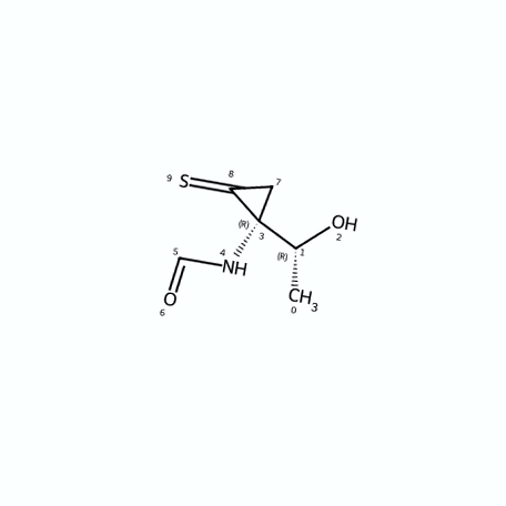 C[C@@H](O)[C@]1(NC=O)CC1=S